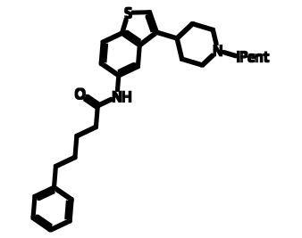 CCCC(C)N1CCC(c2csc3ccc(NC(=O)CCCCc4ccccc4)cc23)CC1